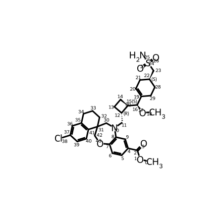 COC(=O)c1ccc2c(c1)N(C[C@@H]1CC[C@H]1[C@H](OC)C1=CC[C@@H](CS(N)(=O)=O)CC1)CC1(CCCc3cc(Cl)ccc31)CO2